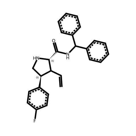 C=CC1[C@@H](C(=O)NC(c2ccccc2)c2ccccc2)NC[C@@H]1c1ccc(F)cc1